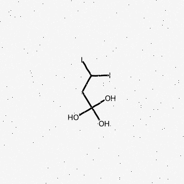 OC(O)(O)CC(I)I